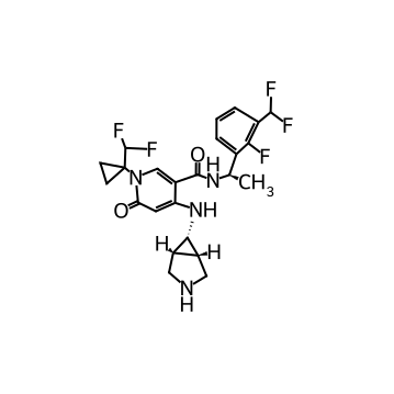 C[C@@H](NC(=O)c1cn(C2(C(F)F)CC2)c(=O)cc1N[C@@H]1[C@@H]2CNC[C@@H]21)c1cccc(C(F)F)c1F